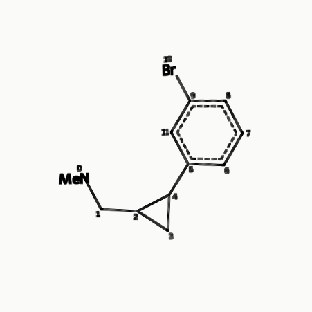 CNCC1CC1c1cccc(Br)c1